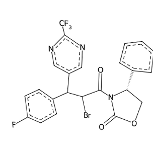 O=C1OC[C@@H](c2ccccc2)N1C(=O)C(Br)C(c1ccc(F)cc1)c1cnc(C(F)(F)F)nc1